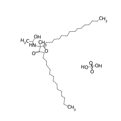 CCCCCCCCCCCCCCCC(=O)C(C)(NC(C)O)C(=O)CCCCCCCCCCCCCCC.O=S(=O)(O)O